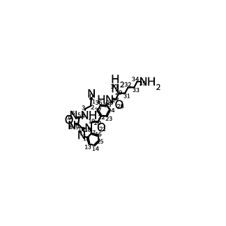 N#CCCNc1nonc1-c1nc2ccccc2n1CC(=O)c1ccc(NC(=O)C(N)CCCCN)cc1